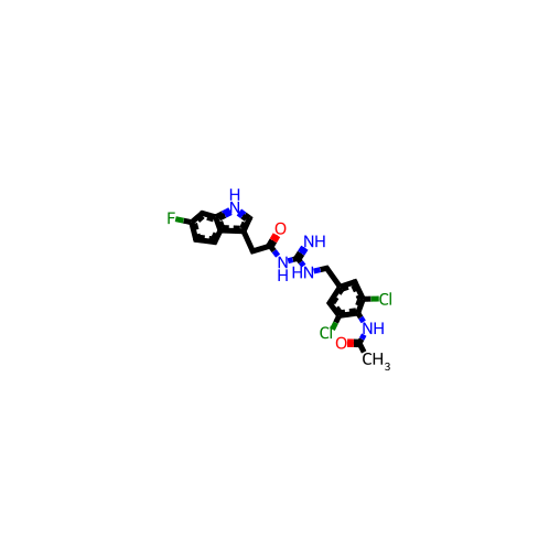 CC(=O)Nc1c(Cl)cc(CNC(=N)NC(=O)Cc2c[nH]c3cc(F)ccc23)cc1Cl